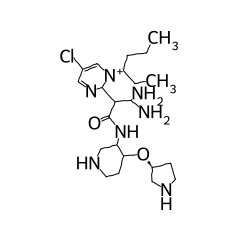 CCC/C(CC)=[N+]1\C=C(Cl)C=NC1C(C(=O)NC1CNCCC1O[C@H]1CCNC1)C(N)N